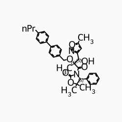 CCCc1ccc(-c2ccc(CO[C@](C)(C(=O)N3C(=O)OC(C)(C)[C@@H]3c3ccccc3)[C@@H](O)c3cc(C)on3)cc2)cc1